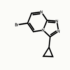 Brc1cnc2nnc(C3CC3)n2c1